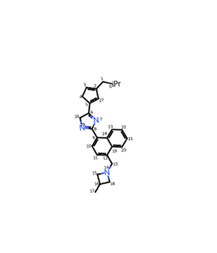 CC(C)CC1=CCC(C2=NC(c3ccc(CN4CC(C)C4)c4ccccc34)=NC2)=C1